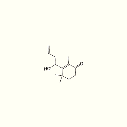 C=CCC(O)C1=C(C)C(=O)CCC1(C)C